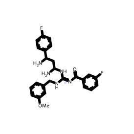 COc1cccc(CN/C(=N/C(=O)c2cccc(F)c2)NC(N)CC(N)c2ccc(F)cc2)c1